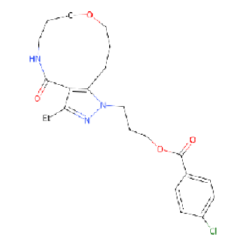 CCc1nn(CCCOC(=O)c2ccc(Cl)cc2)c2c1C(=O)NCCCOCCC2